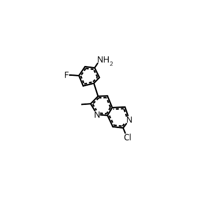 Cc1nc2cc(Cl)ncc2cc1-c1cc(N)cc(F)c1